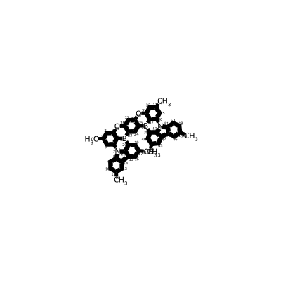 Cc1cc2c3c(c1)-n1c4ccc(C)cc4c4cc(C)cc(c41)B3c1cc3c(cc1O2)Oc1cc(C)cc2c1B3c1cc(C)cc3c4cc(C)ccc4n-2c13